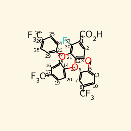 O=C(O)c1cc(Oc2ccc(C(F)(F)F)cc2)c(Oc2ccc(C(F)(F)F)cc2)c(Oc2ccc(C(F)(F)F)cc2)c1F